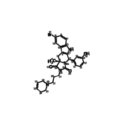 C[C@@]12Cc3c([nH]c4ccc(Br)cc34)[C@@H](c3cccc(O)c3)N1C(=O)N(CCCN1CC=CCC1)C2=O